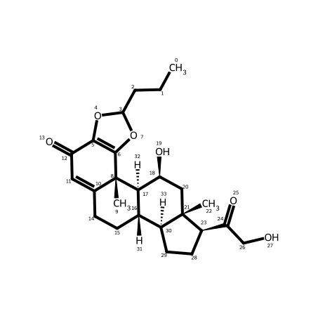 CCCC1OC2=C(O1)[C@@]1(C)C(=CC2=O)CC[C@@H]2[C@@H]1[C@@H](O)C[C@]1(C)[C@@H](C(=O)CO)CC[C@@H]21